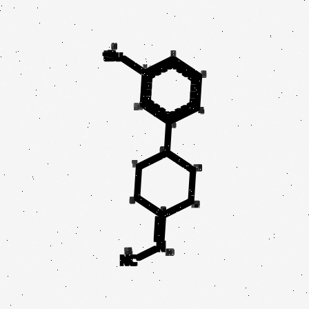 CC(C)(C)c1cccc(C2CCC(=NC#N)CC2)c1